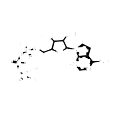 Nc1ncnc2c1ccn2C1OC(COP(=O)(O)OP(=O)(O)OP(=O)(O)O)C(O)C1O